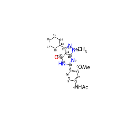 COc1cc(NC(C)=O)ccc1-c1nc2c(c(C3CCCCC3)nn2C)c(=O)[nH]1